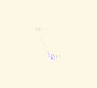 [CH2]Cc1cn(CCOCCOCCOCCNC(C)=O)nn1